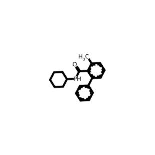 Cc1cccc(-c2ccccc2)c1C(=O)PC1CCCCC1